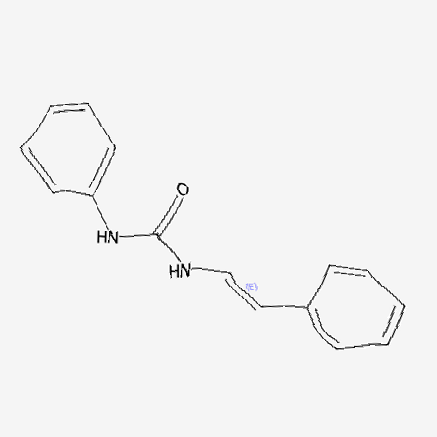 O=C(N/C=C/c1ccccc1)Nc1ccccc1